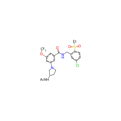 CCS(=O)(=O)c1ccc(Cl)cc1CNC(=O)c1cc(OC(F)(F)F)cc(N2CCC(NC(C)=O)C2)c1